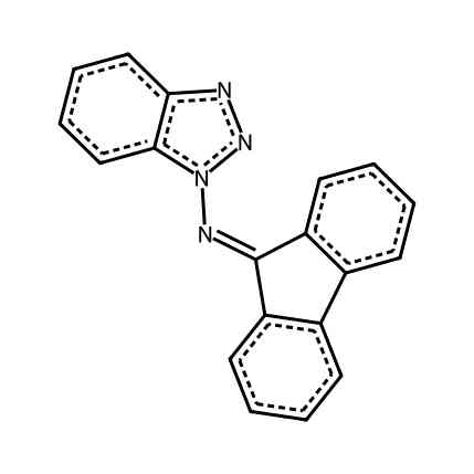 c1ccc2c(c1)C(=Nn1nnc3ccccc31)c1ccccc1-2